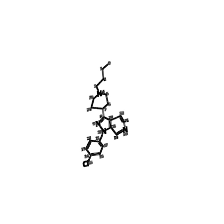 CCCCN1CCC(c2nn(-c3ccc(Cl)cc3)c3cnccc23)CC1